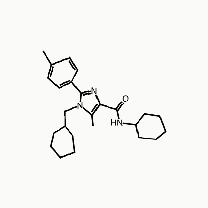 Cc1ccc(-c2nc(C(=O)NC3CCCCC3)c(C)n2CC2CCCCC2)cc1